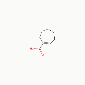 O=C(O)C1=CCCCCC1